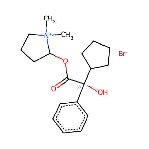 C[N+]1(C)CCCC1OC(=O)[C@](O)(c1ccccc1)C1CCCC1.[Br-]